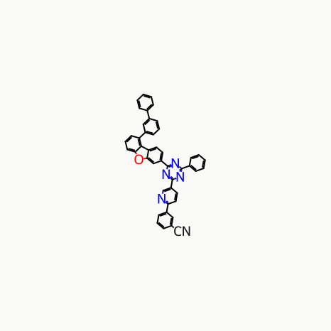 N#Cc1cccc(-c2ccc(-c3nc(-c4ccccc4)nc(-c4ccc5c(c4)oc4cccc(-c6cccc(-c7ccccc7)c6)c45)n3)cn2)c1